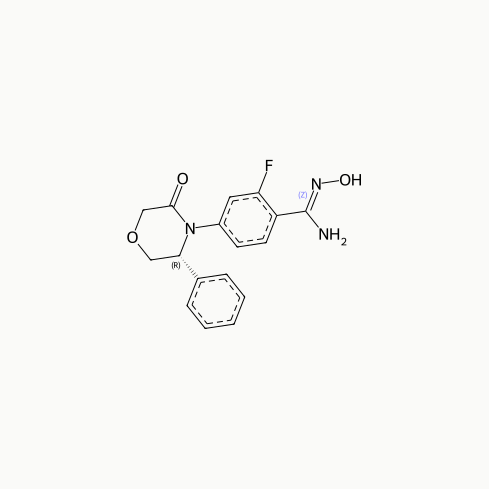 N/C(=N\O)c1ccc(N2C(=O)COC[C@H]2c2ccccc2)cc1F